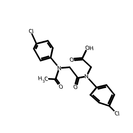 CC(=O)N(CC(=O)N(CC(=O)O)c1ccc(Cl)cc1)c1ccc(Cl)cc1